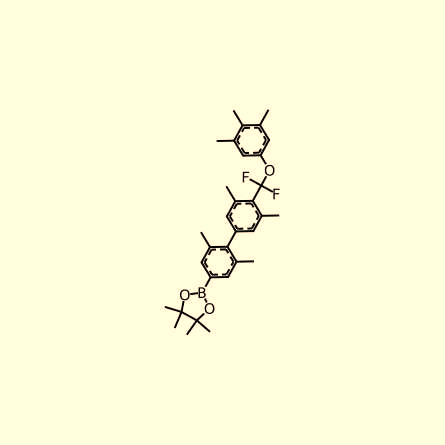 Cc1cc(OC(F)(F)c2c(C)cc(-c3c(C)cc(B4OC(C)(C)C(C)(C)O4)cc3C)cc2C)cc(C)c1C